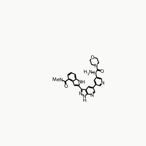 CNC(=O)c1cccc2[nH]c(-c3n[nH]c4ncc(-c5cncc(N(N)C(=O)N6CCOCC6)c5)cc34)cc12